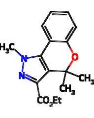 CCOC(=O)c1nn(C)c2c1C(C)(C)Oc1ccccc1-2